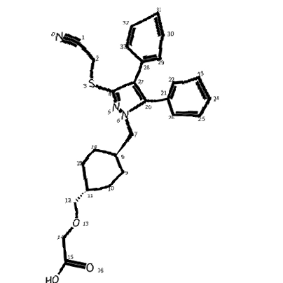 N#CCSc1nn(C[C@H]2CC[C@H](COCC(=O)O)CC2)c(-c2ccccc2)c1-c1ccccc1